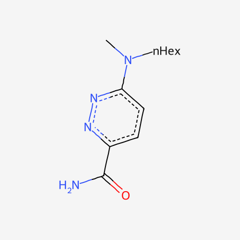 CCCCCCN(C)c1ccc(C(N)=O)nn1